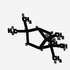 CC1(C)CC2C(C)(O)CC1C2(C)C